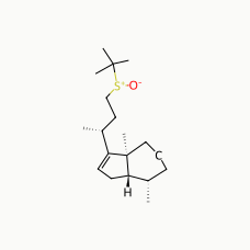 C[C@H](CC[S+]([O-])C(C)(C)C)C1=CC[C@H]2[C@@H](C)CCC[C@]12C